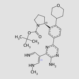 CN/C=C(\C=N)c1nc(-c2ccc(C3CCOCC3)c([C@@H]3CCCN3C(=O)OC(C)(C)C)c2)cnc1N